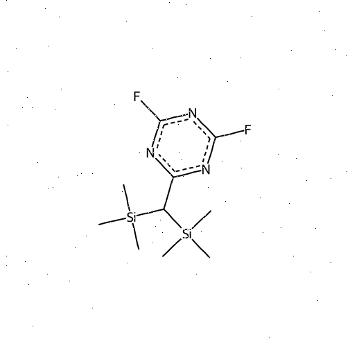 C[Si](C)(C)C(c1nc(F)nc(F)n1)[Si](C)(C)C